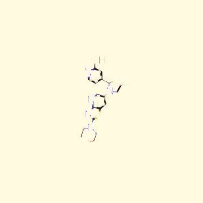 Cc1cc(C2OC=CN2c2cnc3nc(N4CCOCC4)sc3c2)ccn1